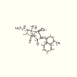 N#Cc1ccc(N2C(=O)[C@@H]3[C@@H]4C[C@@H](CN4C(=O)O)N3C2=O)c2ccccc12